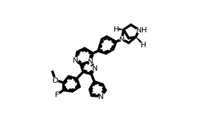 COc1cc(-c2c(-c3ccncc3)nn3c(-c4ccc(N5C[C@@H]6C[C@H]5CN6)cc4)ccnc23)ccc1F